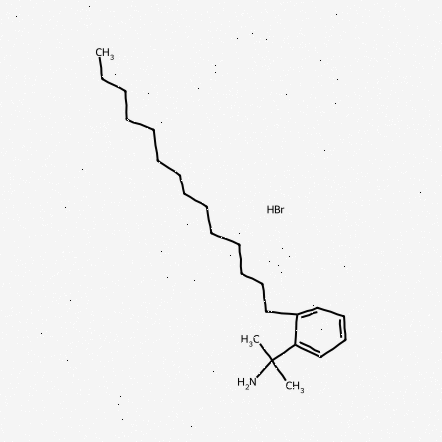 Br.CCCCCCCCCCCCCCc1ccccc1C(C)(C)N